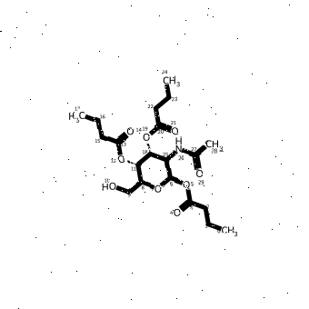 CCCC(=O)OC1OC(CO)[C@H](OC(=O)CCC)[C@H](OC(=O)CCC)C1NC(C)=O